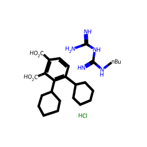 CCCCNC(=N)NC(=N)N.Cl.O=C(O)c1ccc(C2CCCCC2)c(C2CCCCC2)c1C(=O)O